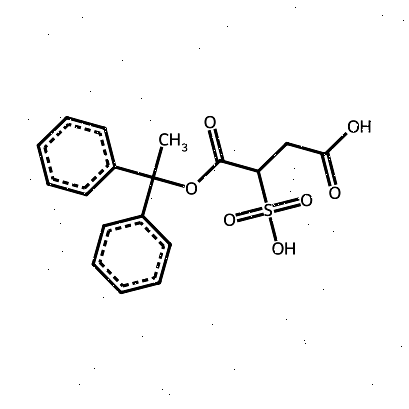 CC(OC(=O)C(CC(=O)O)S(=O)(=O)O)(c1ccccc1)c1ccccc1